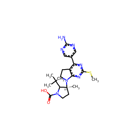 CSc1nc(-c2cnc(N)nc2)c2c(n1)N([C@@]1(C)CCN(C(=O)O)C1C(C)(C)C)CC2